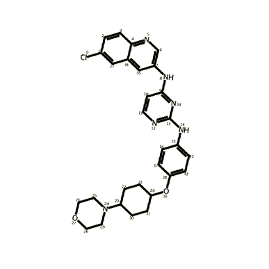 Clc1ccc2ncc(Nc3ccnc(Nc4ccc(OC5CCC(N6CCOCC6)CC5)cc4)n3)cc2c1